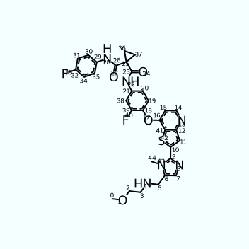 COCCNCc1cnc(-c2cc3nccc(Oc4ccc(NC(=O)C5(C(=O)Nc6ccc(F)cc6)CC5)cc4F)c3s2)n1C